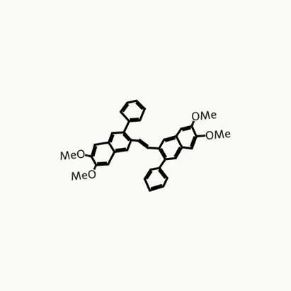 COc1cc2cc(/C=C/c3cc4cc(OC)c(OC)cc4cc3-c3ccccc3)c(-c3ccccc3)cc2cc1OC